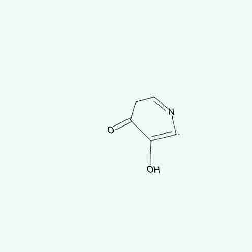 O=C1CC=N[C]=C1O